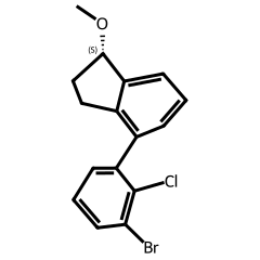 CO[C@H]1CCc2c(-c3cccc(Br)c3Cl)cccc21